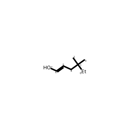 CCC(C)(C)CC=CO